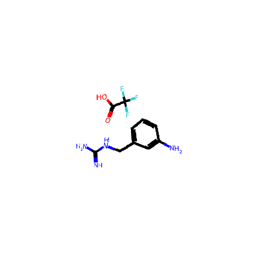 N=C(N)NCc1cccc(N)c1.O=C(O)C(F)(F)F